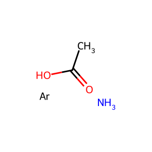 CC(=O)O.N.[Ar]